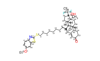 CCOc1ccc2nc(SCCCCCCCC[C@@H]3CC4=CC(=O)CC[C@]4(C)[C@H]4CC[C@@]5(C)[C@@H](CC[C@@]5(O)C(F)(F)C(F)(F)F)[C@H]34)sc2c1